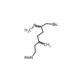 C=C(CCNC)CC/C(CC(C)(C)C)=N\C